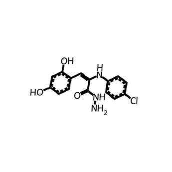 NNC(=O)/C(=C\c1ccc(O)cc1O)Nc1ccc(Cl)cc1